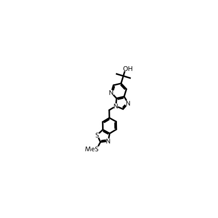 CSc1nc2ccc(Cn3cnc4cc(C(C)(C)O)cnc43)cc2s1